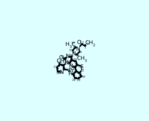 C=CC(=O)N1C[C@H](C)N(c2nc(=O)n(-c3c(C)ccnc3C(C)C)c3nc(-c4c(F)cccc4F)c(F)cc23)C[C@H]1C